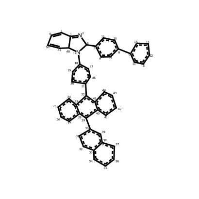 C1=CC2=NC(c3ccc(-c4ccccc4)cc3)N(c3ccc(-c4c5ccccc5c(-c5ccc6ccccc6c5)c5ccccc45)cc3)C2C=C1